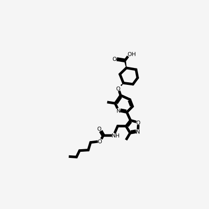 CCCCCOC(=O)NCc1c(C)noc1-c1ccc(O[C@H]2CCC[C@H](C(=O)O)C2)c(C)n1